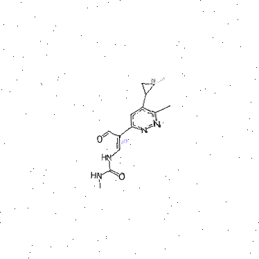 CNC(=O)N/C=C(\C=O)c1cc(C2C[C@@H]2C)c(C)nn1